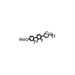 CCOC1CCC(c2ccc(-c3ccc(OC)cc3F)c(F)c2F)CO1